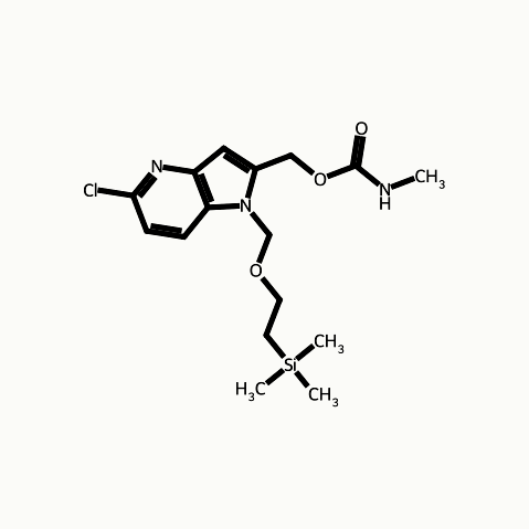 CNC(=O)OCc1cc2nc(Cl)ccc2n1COCC[Si](C)(C)C